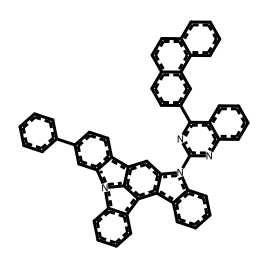 c1ccc(-c2ccc3c4cc5c(c6ccccc6n5-c5nc(-c6ccc7ccc8ccccc8c7c6)c6ccccc6n5)c5c6ccccc6n(c3c2)c45)cc1